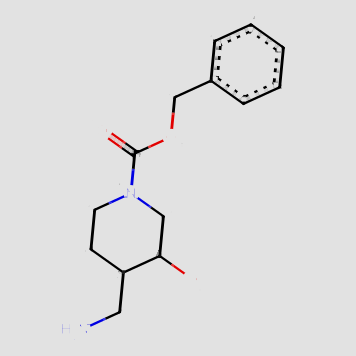 NCC1CCN(C(=O)OCc2ccccc2)CC1O